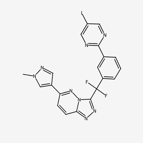 Cn1cc(-c2ccc3nnc(C(F)(F)c4cccc(-c5ncc(I)cn5)c4)n3n2)cn1